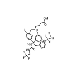 O=C(O)CCCCCc1cc([C@@](Cc2ccccc2)(NC(=O)NCC(F)(F)F)c2cc(F)cc(OC(F)(F)C(F)F)c2)ccc1F